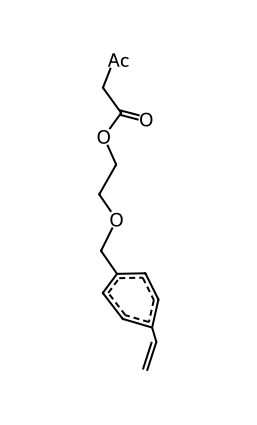 C=Cc1ccc(COCCOC(=O)CC(C)=O)cc1